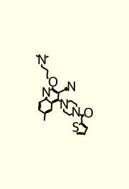 Cc1ccc2nc(OCCCN(C)C)c(C#N)c(N3CCN(C(=O)c4cccs4)CC3)c2c1